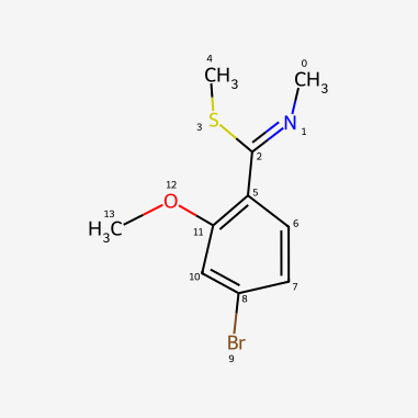 CN=C(SC)c1ccc(Br)cc1OC